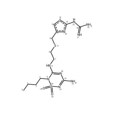 CCCCN1C(NCCSCc2csc(NC(=N)N)n2)=NC(N)=NS1(=O)=O